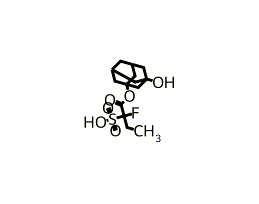 CCC(F)(C(=O)OC12CC3CC(CC(O)(C3)C1)C2)S(=O)(=O)O